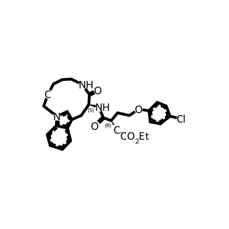 CCOC(=O)C[C@@H](CCOc1ccc(Cl)cc1)C(=O)N[C@H]1Cc2cn(c3ccccc23)CCCCCNC1=O